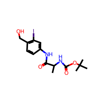 CC(NC(=O)OC(C)(C)C)C(=O)Nc1ccc(CO)c(I)c1